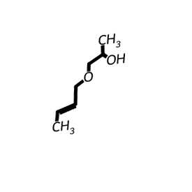 CC=CCOCC(C)O